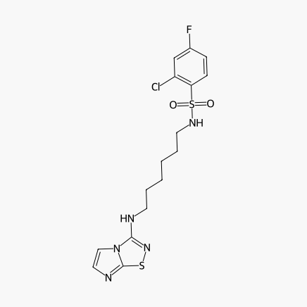 O=S(=O)(NCCCCCCNc1nsc2nccn12)c1ccc(F)cc1Cl